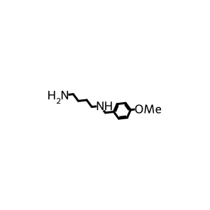 COc1ccc(CNCCCCN)cc1